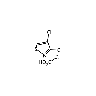 Clc1csnc1Cl.O=C(O)Cl